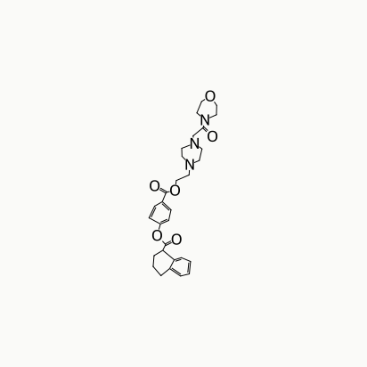 O=C(OCCN1CCN(CC(=O)N2CCOCC2)CC1)c1ccc(OC(=O)C2CCCc3ccccc32)cc1